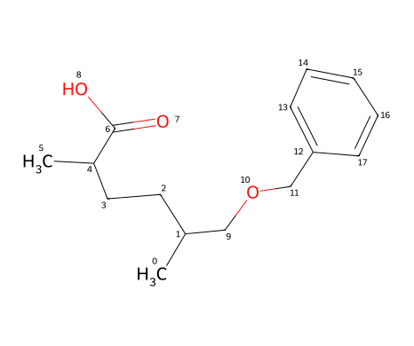 CC(CCC(C)C(=O)O)COCc1ccccc1